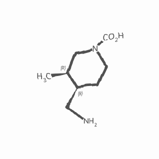 C[C@H]1CN(C(=O)O)CC[C@H]1CN